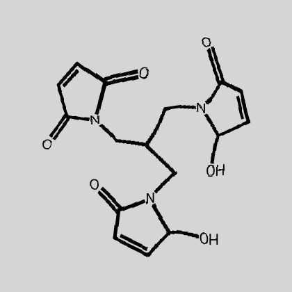 O=C1C=CC(=O)N1CC(CN1C(=O)C=CC1O)CN1C(=O)C=CC1O